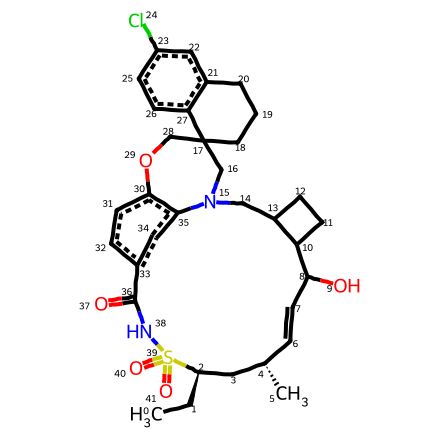 CC[C@@H]1C[C@@H](C)/C=C/C(O)C2CCC2CN2CC3(CCCc4cc(Cl)ccc43)COc3ccc(cc32)C(=O)NS1(=O)=O